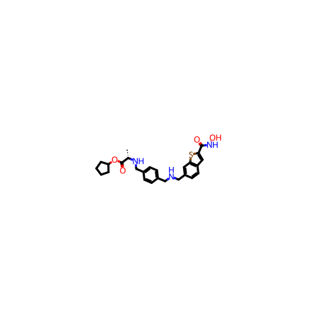 C[C@H](NCc1ccc(CNCc2ccc3cc(C(=O)NO)sc3c2)cc1)C(=O)OC1CCCC1